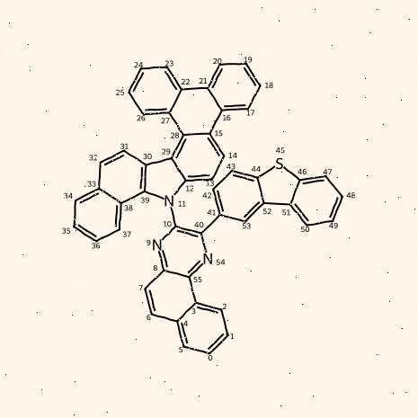 c1ccc2c(c1)ccc1nc(-n3c4ccc5c6ccccc6c6ccccc6c5c4c4ccc5ccccc5c43)c(-c3ccc4sc5ccccc5c4c3)nc12